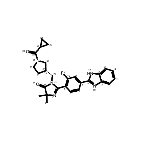 CC1(C)N=C(c2ccc(-c3nc4ccccc4[nH]3)cc2F)N(C[C@@H]2CCN(C(=O)C3CC3)C2)C1=O